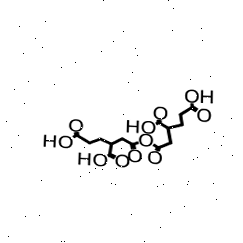 O=C(O)CCC(CC(=O)OC(=O)CC(CCC(=O)O)C(=O)O)C(=O)O